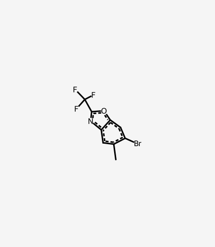 Cc1cc2nc(C(F)(F)F)oc2cc1Br